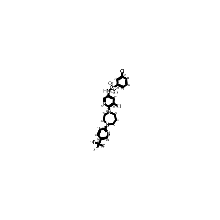 O=S(=O)(Nc1cnc(N2CCCN(c3ccc(C(F)(F)F)cn3)CC2)c(Cl)c1)c1cccc(Cl)c1